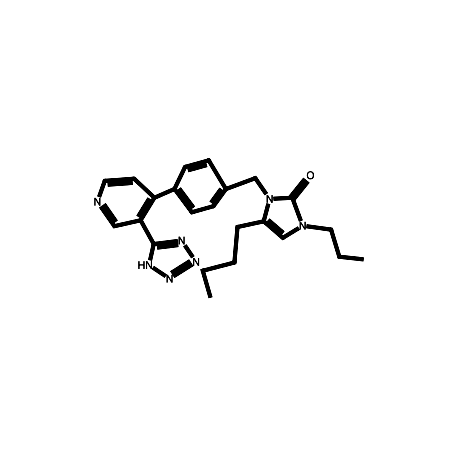 CCCCc1cn(CCC)c(=O)n1Cc1ccc(-c2ccncc2-c2nnn[nH]2)cc1